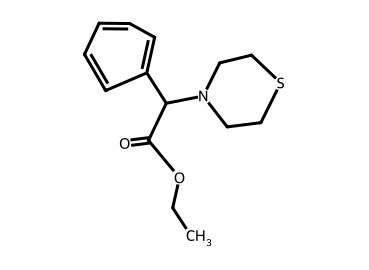 CCOC(=O)C(c1ccccc1)N1CCSCC1